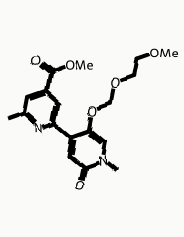 COCCOCOc1cn(C)c(=O)cc1-c1cc(C(=O)OC)cc(C)n1